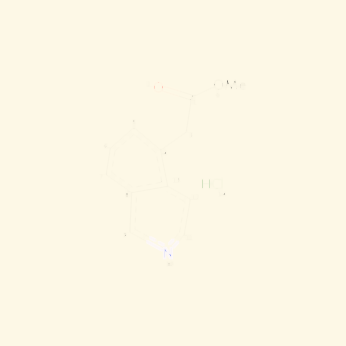 COC(=O)Cc1cccc2cnccc12.Cl